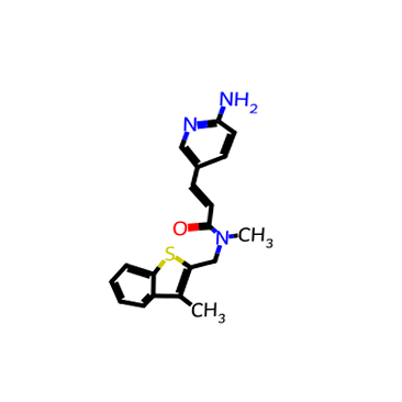 Cc1c(CN(C)C(=O)C=Cc2ccc(N)nc2)sc2ccccc12